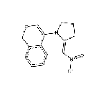 O=[N+]([O-])C=C1CCCN1C1=COCc2ccccc21